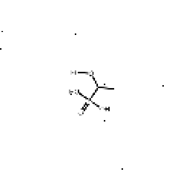 [CH2]C(OCC)P(=O)(O)O